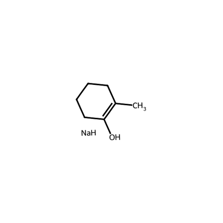 CC1=C(O)CCCC1.[NaH]